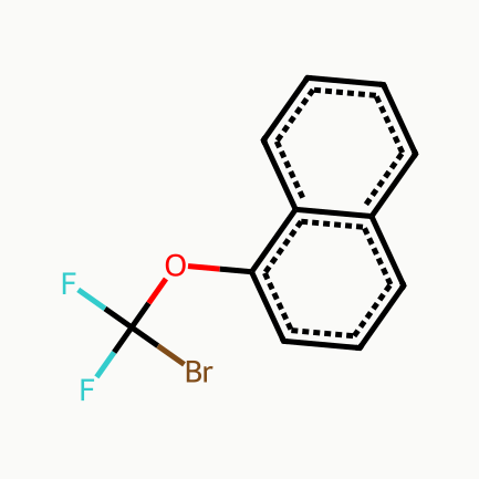 FC(F)(Br)Oc1cccc2ccccc12